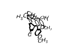 CCOc1ccc(C2OC(CC(=O)O)C(=O)N(CC(C)(C)C)c3ccc(Cl)cc32)c(OC)c1